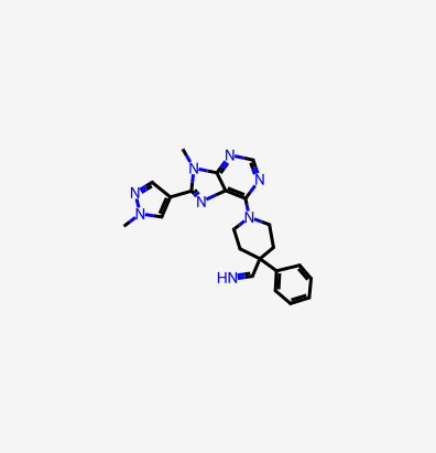 Cn1cc(-c2nc3c(N4CCC(C=N)(c5ccccc5)CC4)ncnc3n2C)cn1